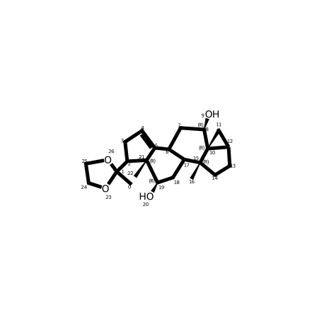 CC1(C2CC=C3C4C[C@@H](O)[C@]56CC5CC[C@]6(C)C4C[C@@H](O)[C@@]32C)OCCO1